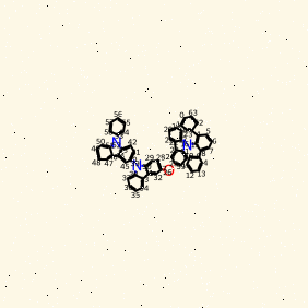 c1ccc(-c2cccc(-c3ccccc3)c2-n2c3ccccc3c3cc(Oc4ccc5c(c4)c4ccccc4n5-c4ccc5c(c4)c4ccccc4n5-c4ccccc4)ccc32)cc1